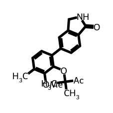 COc1c(C)ccc(-c2ccc3c(c2)CNC3=O)c1OC(C)(C)C(C)=O